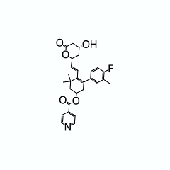 Cc1cc(C2=C(/C=C/[C@@H]3C[C@@H](O)CC(=O)O3)C(C)(C)CC(OC(=O)c3ccncc3)C2)ccc1F